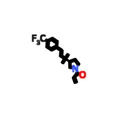 C=CC(=O)N1CC[C@H](C(C)(C)/C=C/c2ccc(C(F)(F)F)cc2)C1